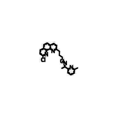 C/C(=N\OCCCc1ccc2ccc3ccc(Cl)nc3c2n1)c1cccc(C)n1